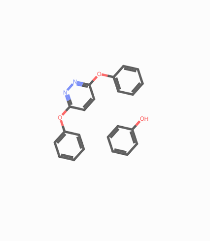 Oc1ccccc1.c1ccc(Oc2ccc(Oc3ccccc3)nn2)cc1